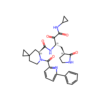 O=C(NC1CC1)C(=O)[C@H](C[C@@H]1CCNC1=O)NC(=O)[C@@H]1CC2(CCN1C(=O)c1cccc(-c3ccccc3)n1)CC2